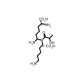 CC(O)C(=O)N(C(N)CCC[C@H](N)C(=O)O)[C@@H](CCCCN)C(=O)O